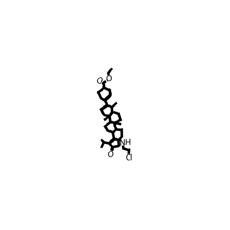 CCOC(=O)C1CC=C(C2=CCC3(C)C(CCC4(C)C5CCC6(NCCCl)CC(=O)C(C(C)C)=C6C5CCC34)C2C)CC1